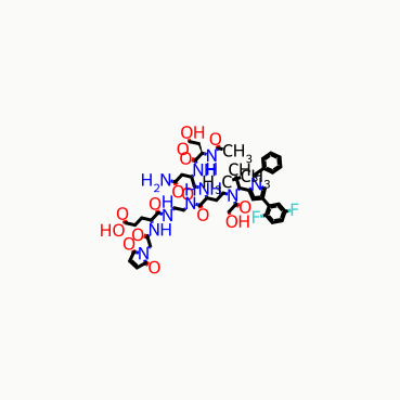 CC(=O)N[C@H](CC(=O)O)C(=O)NC(CC(N)=O)C(=O)NC(CCN(C(=O)CO)C(c1cc(-c2cc(F)ccc2F)cn1Cc1ccccc1)C(C)(C)C)C(=O)NCCNC(=O)C(CCC(=O)O)NC(=O)CN1C(=O)C=CC1=O